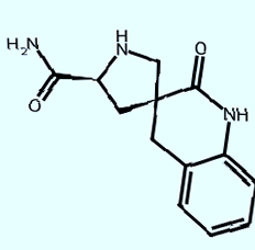 NC(=O)[C@@H]1C[C@]2(CN1)Cc1ccccc1NC2=O